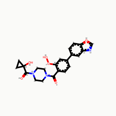 O=C(c1ccc(-c2ccc3ocnc3c2)cc1OO)N1CCN(C(=O)C2(O)CC2)CC1